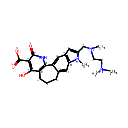 CN(C)CCN(C)Cc1cc2cc3c(cc2n1C)CCCc1c-3[nH]c(=O)c(C(=O)O)c1O